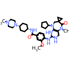 COc1cc(C(=O)N[C@H]2CC[C@@H](N3CCN(C)CC3)CC2)ccc1NC1NCC2=C(N1)N(C1CCCC1)CC1(CC1)C(=O)N2C